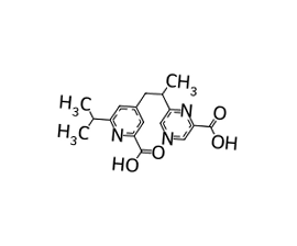 CC(C)c1cc(CC(C)c2cncc(C(=O)O)n2)cc(C(=O)O)n1